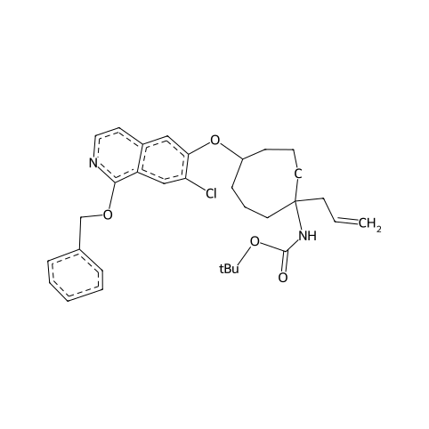 C=CCC1(NC(=O)OC(C)(C)C)CCCC(Oc2cc3ccnc(OCc4ccccc4)c3cc2Cl)CCC1